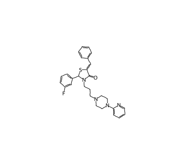 O=C1C(=Cc2ccccc2)SC(c2cccc(F)c2)N1CCCN1CCN(c2ccccn2)CC1